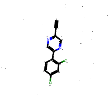 C#Cc1cnc(-c2ccc(Cl)cc2Cl)cn1